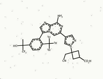 [2H]C([2H])([2H])c1ccc(C(C)(O)C(F)(F)F)cc1-c1cnc2c(N)nc(-c3cnn(C4(CC#N)CC(C(=O)O)C4)c3)cn12